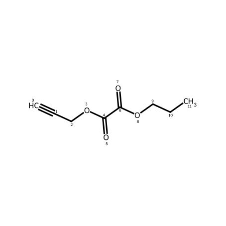 C#CCOC(=O)C(=O)OCCC